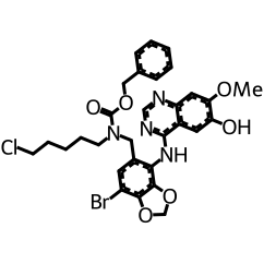 COc1cc2ncnc(Nc3c(CN(CCCCCCl)C(=O)OCc4ccccc4)cc(Br)c4c3OCO4)c2cc1O